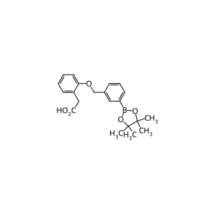 CC1(C)OB(c2cccc(COc3ccccc3CC(=O)O)c2)OC1(C)C